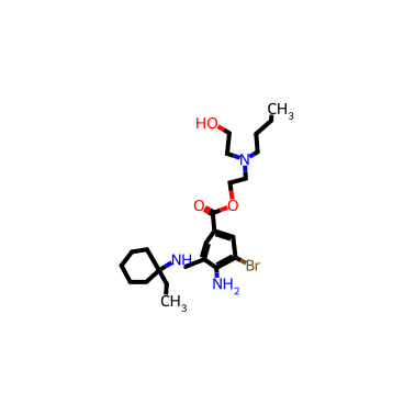 CCCCN(CCO)CCOC(=O)c1cc(Br)c(N)c(CNC2(CC)CCCCC2)c1